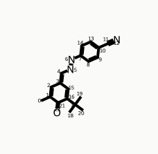 CC1=CC(=CN=Nc2ccc(C#N)cc2)C=C(C(C)(C)C)C1=O